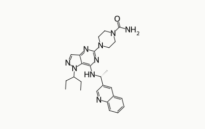 CCC(CC)n1ncc2nc(N3CCN(C(N)=O)CC3)nc(N[C@H](C)c3cnc4ccccc4c3)c21